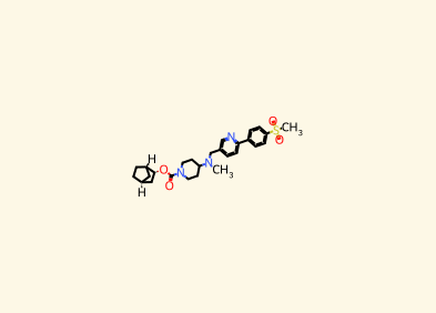 CN(Cc1ccc(-c2ccc(S(C)(=O)=O)cc2)nc1)C1CCN(C(=O)O[C@@H]2C[C@H]3CC[C@H]2C3)CC1